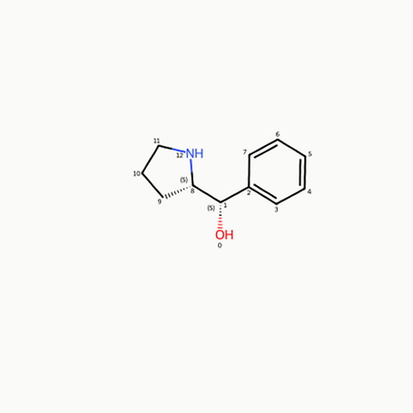 O[C@@H](c1ccccc1)[C@@H]1CCCN1